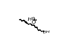 CC(=O)O.CCC=CC#CCCCCCCCCCCO